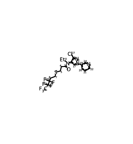 CCN(C(=O)CCSCCC(F)(F)C(F)(F)C(F)(F)F)c1cn(-c2cccnc2)nc1Cl